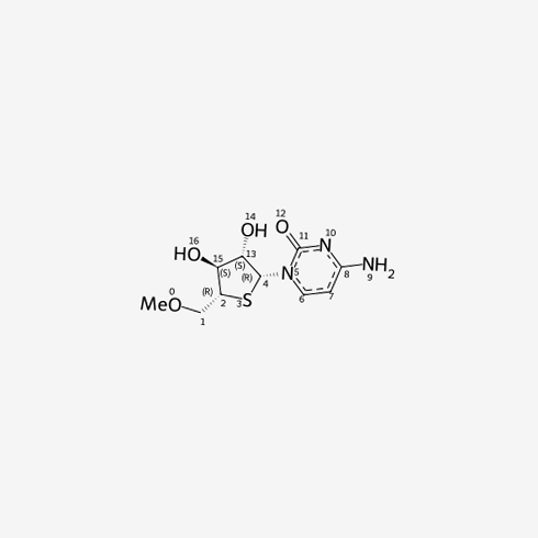 COC[C@H]1S[C@@H](n2ccc(N)nc2=O)[C@@H](O)[C@@H]1O